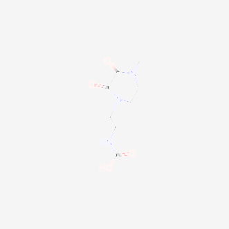 CN1CCN(CCNC(=O)O)C(=O)C1=O